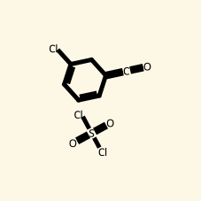 O=C=C1C=CC=C(Cl)C1.O=S(=O)(Cl)Cl